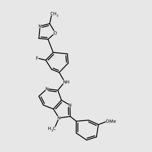 COc1cccc(-c2nc3c(Nc4ccc(-c5cnc(C)o5)c(F)c4)nccc3n2C)c1